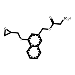 O=C(CS(=O)(=O)O)OCc1cc(OCC2CO2)c2ccccc2c1